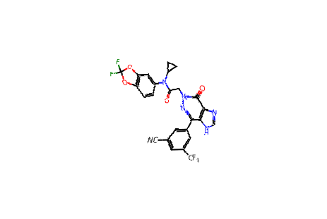 N#Cc1cc(-c2nn(CC(=O)N(c3ccc4c(c3)OC(F)(F)O4)C3CC3)c(=O)c3nc[nH]c23)cc(C(F)(F)F)c1